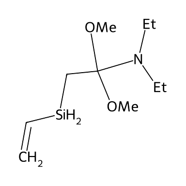 C=C[SiH2]CC(OC)(OC)N(CC)CC